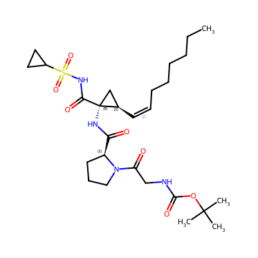 CCCCCC/C=C\[C@@H]1C[C@]1(NC(=O)[C@@H]1CCCN1C(=O)CNC(=O)OC(C)(C)C)C(=O)NS(=O)(=O)C1CC1